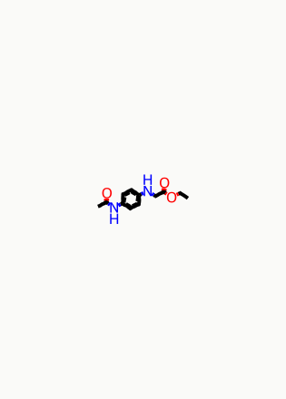 CCOC(=O)CNc1ccc(NC(C)=O)cc1